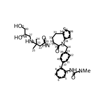 CNC(=O)Nc1ccccc1-c1ccc(CN2C(=O)[C@H](NC(=O)CC(C)(C)NC[C@H](O)CO)CCc3sccc32)cc1